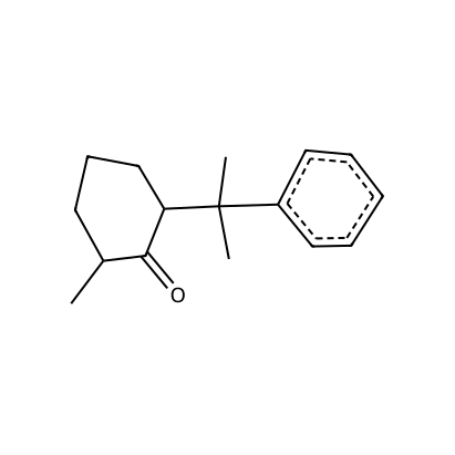 CC1CCCC(C(C)(C)c2ccccc2)C1=O